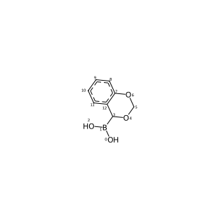 OB(O)C1OCOc2ccccc21